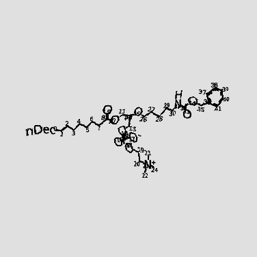 CCCCCCCCCCCCCCCCCC(=O)OC[C@H](COP(=O)([O-])OCC[N+](C)(C)C)OCCCCCNC(=O)OCc1ccccc1